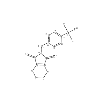 O=C1C2=C(CCCC2)C(=O)C1Nc1ccc(C(F)(F)F)cn1